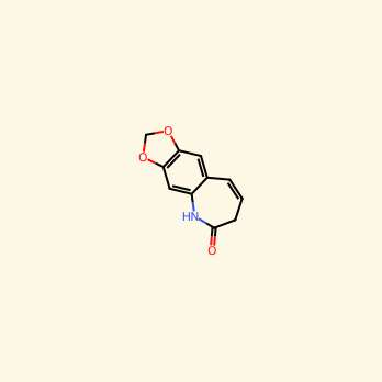 O=C1CC=Cc2cc3c(cc2N1)OCO3